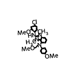 COCCN(c1ccc(OC)cc1)c1cccc2nc(Nc3c(C)cc(Cl)cc3OC)n(C)c12